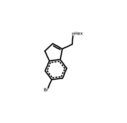 CCCCCCCC1=CCc2cc(Br)ccc21